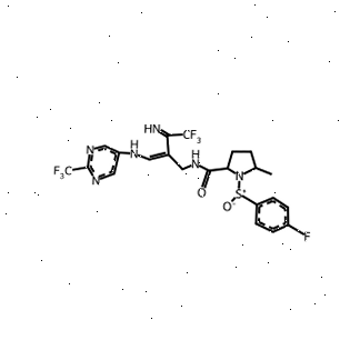 CC1CCC(C(=O)NC/C(=C/Nc2cnc(C(F)(F)F)nc2)C(=N)C(F)(F)F)N1[S+]([O-])c1ccc(F)cc1